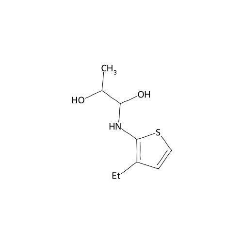 CCc1ccsc1NC(O)C(C)O